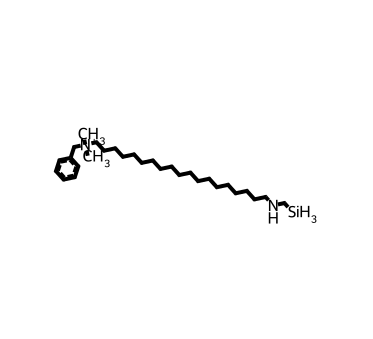 C[N+](C)(CCCCCCCCCCCCCCCCCCCNC[SiH3])Cc1ccccc1